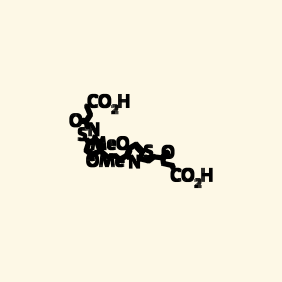 COc1cc2sc(C(=O)CCC(=O)O)nc2cc1CCCc1nc2cc(C(=O)CCC(=O)O)sc2cc1OC